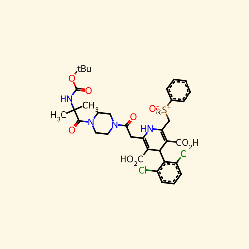 CC(C)(C)OC(=O)NC(C)(C)C(=O)N1CCN(C(=O)CC2=C(C(=O)O)C(c3c(Cl)cccc3Cl)C(C(=O)O)=C(C[S@+]([O-])c3ccccc3)N2)CC1